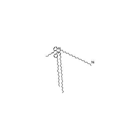 CCCCC=Cc1cccc(N=C(CCCCCCCCCCCCCCCCCCCC)C(C=CCCCCCCCCCCCCCCCCCCCCCC)=Nc2cccc(CCCCCCCCCCCCCCCCC)c2)c1.[Ni]